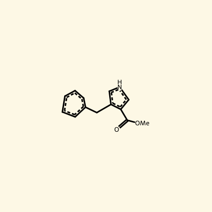 COC(=O)c1c[nH]cc1Cc1ccccc1